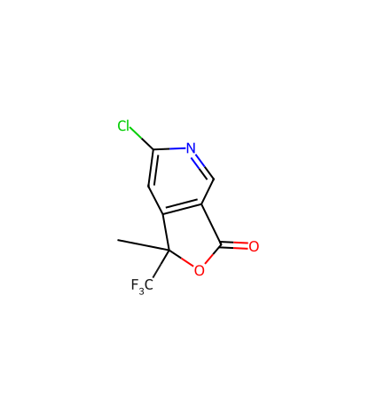 CC1(C(F)(F)F)OC(=O)c2cnc(Cl)cc21